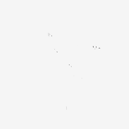 COc1ccc2c(c1CNC(=O)c1ccc(C(F)F)c(F)c1)N(C)CN2